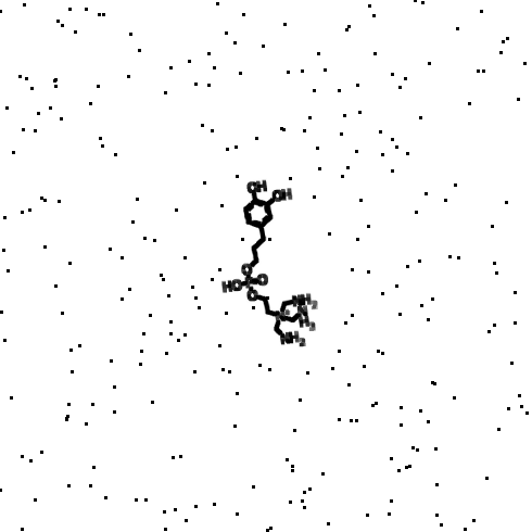 NC[N+](CN)(CN)CCOP(=O)(O)OCCCc1ccc(O)c(O)c1